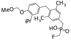 COCOc1ccc(Cc2c(C)cc(CP(=O)(O)CF)cc2C)cc1C(C)C